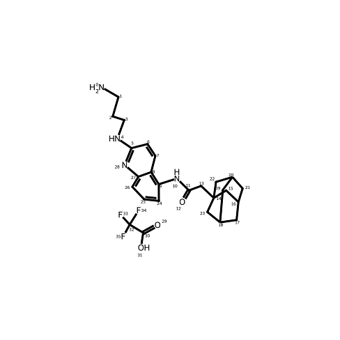 NCCCNc1ccc2c(NC(=O)CC34CC5CC(CC(C5)C3)C4)cccc2n1.O=C(O)C(F)(F)F